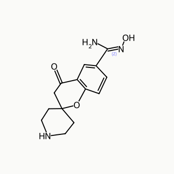 N/C(=N\O)c1ccc2c(c1)C(=O)CC1(CCNCC1)O2